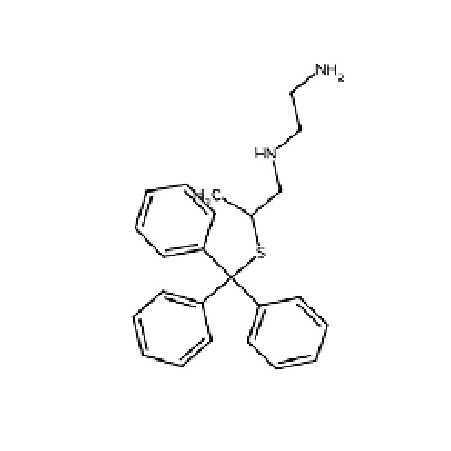 CC(CNCCN)SC(c1ccccc1)(c1ccccc1)c1ccccc1